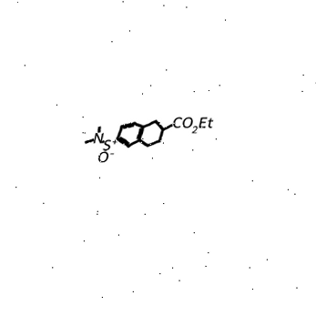 CCOC(=O)C1CCc2cc([S+]([O-])N(C)C)ccc2C1